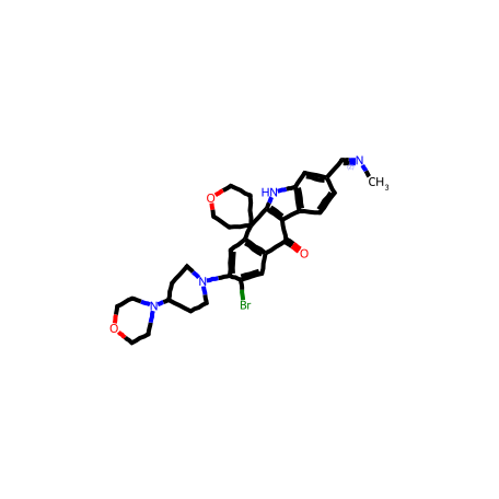 C/N=C\c1ccc2c3c([nH]c2c1)C1(CCOCC1)c1cc(N2CCC(N4CCOCC4)CC2)c(Br)cc1C3=O